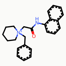 O=C(C[N+]1(Cc2ccccc2)CCCCC1)Nc1cccc2ccccc12